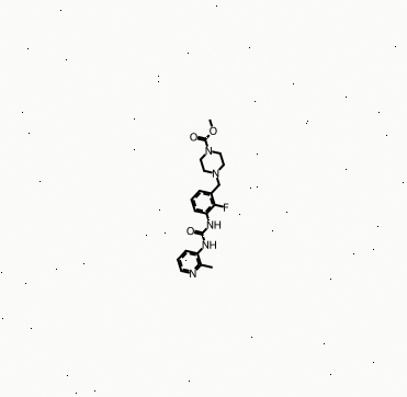 COC(=O)N1CCN(Cc2cccc(NC(=O)Nc3cccnc3C)c2F)CC1